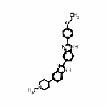 CCOc1ccc(-c2nc3cc(-c4nc5cc(C6CCN(C)CC6)ccc5[nH]4)ccc3[nH]2)cc1